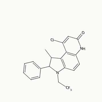 CC1c2c(ccc3[nH]c(=O)cc(Cl)c23)N(CC(F)(F)F)C1c1ccccc1